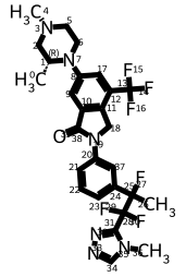 C[C@@H]1CN(C)CCN1c1cc2c(c(C(F)(F)F)c1)CN(c1cccc(C(C)(F)C(F)(F)c3nncn3C)c1)C2=O